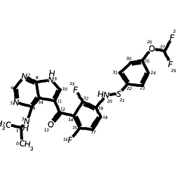 CC(C)Nc1ncnc2[nH]cc(C(=O)c3c(F)ccc(NSc4ccc(OC(F)F)cc4)c3F)c12